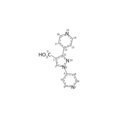 O=C(O)c1cn(-c2ccncc2)nc1-c1ccncc1